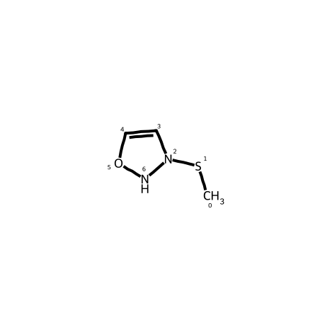 CSN1C=CON1